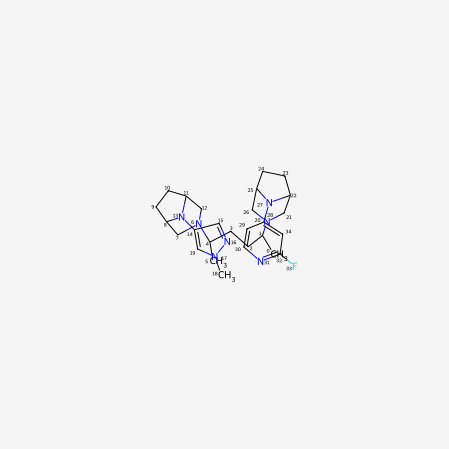 CC(CCC(C)N1CC2CCC(C1)N2c1cnn(C)c1)N1CC2CCC(C1)N2c1ccnc(F)c1